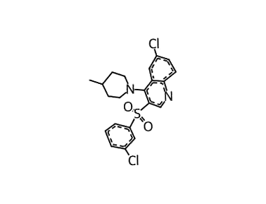 CC1CCN(c2c(S(=O)(=O)c3cccc(Cl)c3)cnc3ccc(Cl)cc23)CC1